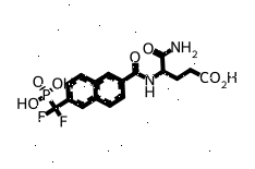 NC(=O)C(CCC(=O)O)NC(=O)c1ccc2cc(C(F)(F)P(=O)(O)O)ccc2c1